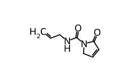 C=CCNC(=O)N1CC=CC1=O